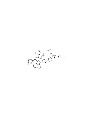 N#Cc1cc2ccc3cc(-c4ccc5c(-c6cccc7ccccc67)c6cc(-c7cccnc7)ccc6c(-c6cccc7ccccc67)c5c4)cc4c3c2c(c1)n4-c1ccccc1